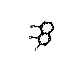 Fc1ccc2cccc(Br)c2c1Cl